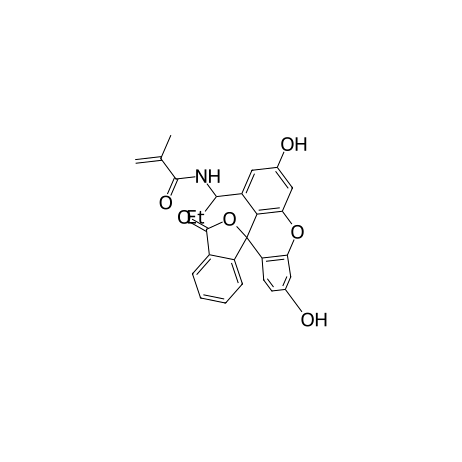 C=C(C)C(=O)NC(CC)c1cc(O)cc2c1C1(OC(=O)c3ccccc31)c1ccc(O)cc1O2